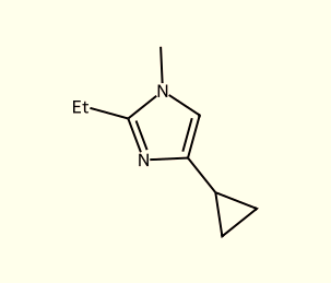 CCc1nc(C2CC2)cn1C